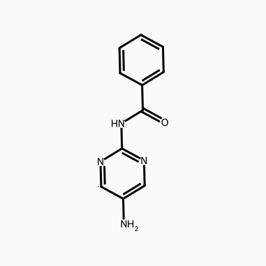 Nc1[c]nc(NC(=O)c2ccccc2)nc1